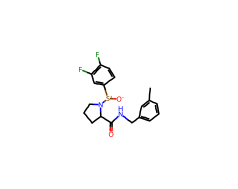 Cc1cccc(CNC(=O)C2CCCN2[S+]([O-])c2ccc(F)c(F)c2)c1